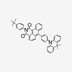 CC(C)(C)c1ccc(N2C(=O)c3cccc4c(-c5ccc(N6c7ccccc7C(C)(C)c7ccccc76)cc5)c5ccccc5c(c34)C2=O)cc1